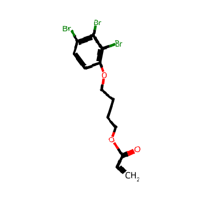 C=CC(=O)OCCCCOc1ccc(Br)c(Br)c1Br